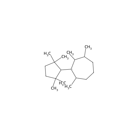 CC1CCCC(C)C(C)[C]1C1C(C)(C)CCC1(C)C